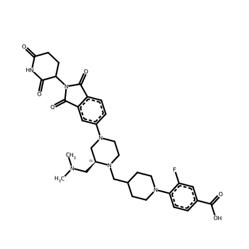 CN(C)C[C@H]1CN(c2ccc3c(c2)C(=O)N(C2CCC(=O)NC2=O)C3=O)CCN1CC1CCN(c2ccc(C(=O)O)cc2F)CC1